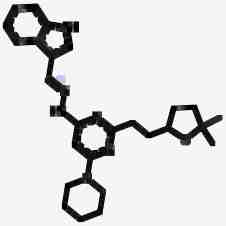 CC1(C)CCC(CCc2nc(N/N=C/c3c[nH]c4ccccc34)cc(N3CCCCC3)n2)O1